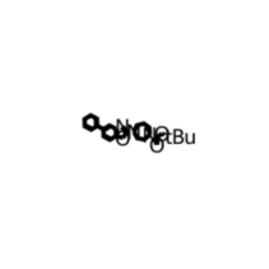 CC(C)(C)OC(=O)N1CCCN(c2nc3cc(C4=CCCC=C4)ccc3o2)CC1